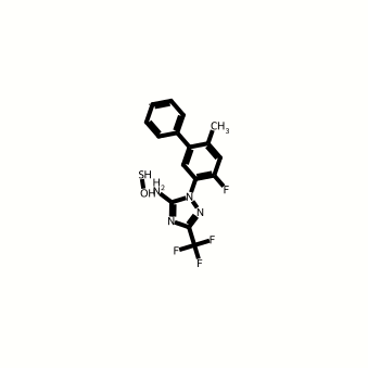 Cc1cc(F)c(-n2nc(C(F)(F)F)nc2N)cc1-c1cc[c]cc1.OS